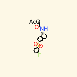 CC(=O)OCC(=O)NC[C@@H]1CCCc2cc(S(=O)(=O)c3cccc(F)c3)ccc21